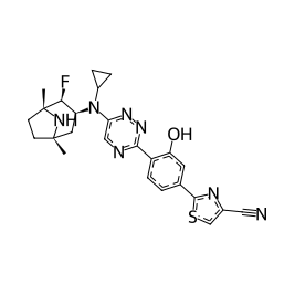 C[C@@]12CC[C@@](C)(N1)[C@@H](F)[C@@H](N(c1cnc(-c3ccc(-c4nc(C#N)cs4)cc3O)nn1)C1CC1)C2